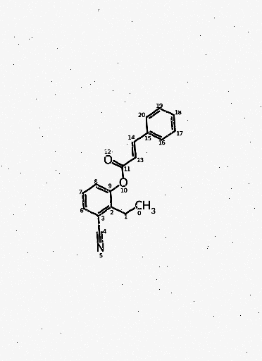 CCc1c(C#N)cccc1OC(=O)/C=C/c1ccccc1